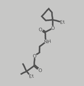 CCC1(OC(=O)NCCOC(=O)C(C)(C)CC)CCCC1